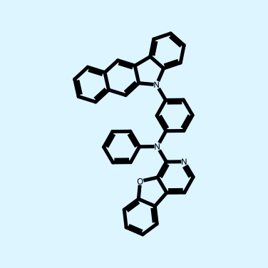 c1ccc(N(c2cccc(-n3c4ccccc4c4cc5ccccc5cc43)c2)c2nccc3c2oc2ccccc23)cc1